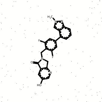 Cn1cc2c(-c3cc(F)c(CN4Cc5ncc(O)cc5C4=O)c(F)c3)cccc2n1